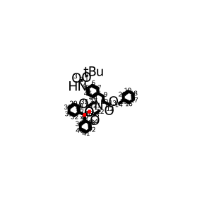 CC(C)(C)OC(=O)Nc1ccc(CC(C(=O)OCc2ccccc2)N(CC(=O)OCc2ccccc2)CC(=O)OCc2ccccc2)cc1